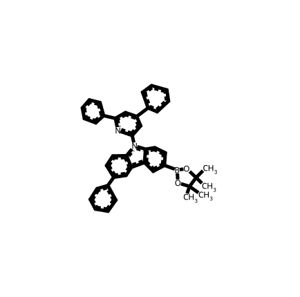 CC1(C)OB(c2ccc3c(c2)c2cc(-c4ccccc4)ccc2n3-c2cc(-c3ccccc3)cc(-c3ccccc3)n2)OC1(C)C